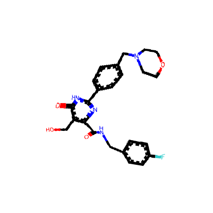 O=C(NCc1ccc(F)cc1)c1nc(-c2ccc(CN3CCOCC3)cc2)[nH]c(=O)c1CO